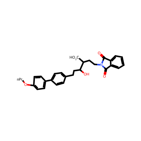 CCCOc1ccc(-c2ccc(CCC(O)C(CCN3C(=O)c4ccccc4C3=O)C(=O)O)cc2)cc1